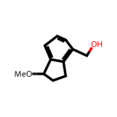 COC1CCc2c(CO)cccc21